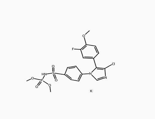 COc1ccc(-c2c(Cl)ncn2-c2ccc(S(=O)(=O)NP(=O)(OC)OC)cc2)cc1F.[K]